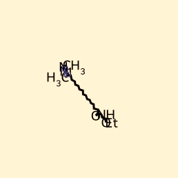 CCOCCNC(=O)CCCCCCCCCCCCCCC/C(C)=N/N=N\C